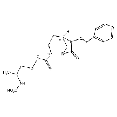 CC(CONC(=O)[C@@H]1CC[C@@H]2CN1C(=O)N2OCc1ccccc1)NC(=O)O